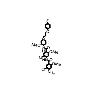 COc1cc(N)c(Cl)cc1C(=O)Nc1cc(OC)c(C(=O)N[C@H]2CCN(CCCOc3ccc(F)cc3)C[C@H]2OC)cc1Cl